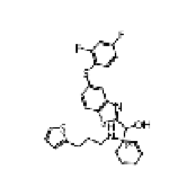 OC(c1nc2cc(Sc3ccc(F)cc3F)ccc2s1)[C@]1(NCCCc2cccs2)C=CC=CC1